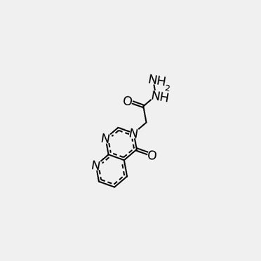 NNC(=O)Cn1cnc2ncccc2c1=O